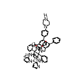 O=C1c2ccc(-c3ccccc3)cc2CN1C(C(=O)Nc1nccs1)(c1ccccc1)C(C(=O)Nc1nccs1)(c1ccccc1)N1Cc2ccc(-c3ccc(N4CCNCC4)cc3)cc2C1=O